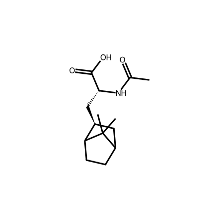 CC(=O)N[C@H](C[C@H]1CC2CCC1C2(C)C)C(=O)O